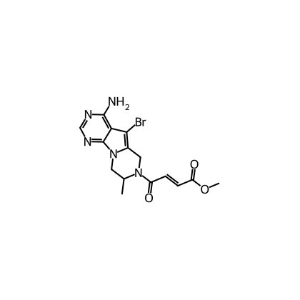 COC(=O)C=CC(=O)N1Cc2c(Br)c3c(N)ncnc3n2CC1C